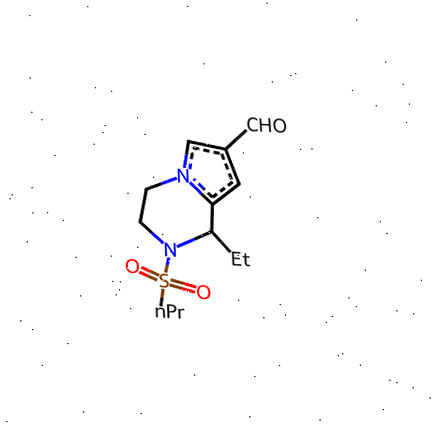 CCCS(=O)(=O)N1CCn2cc(C=O)cc2C1CC